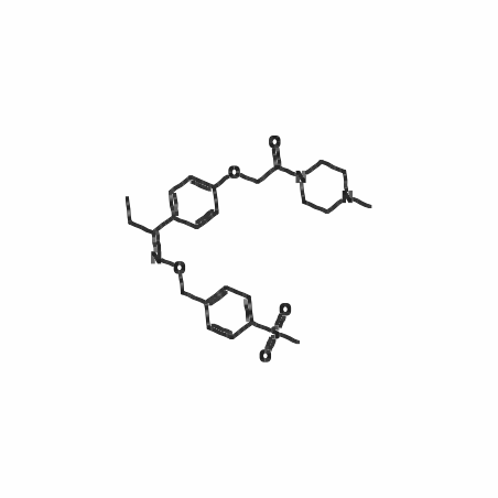 CCC(=NOCc1ccc(S(C)(=O)=O)cc1)c1ccc(OCC(=O)N2CCN(C)CC2)cc1